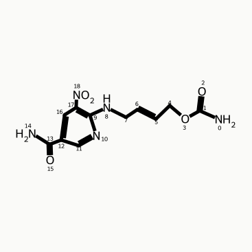 NC(=O)OCC=CCNc1ncc(C(N)=O)cc1[N+](=O)[O-]